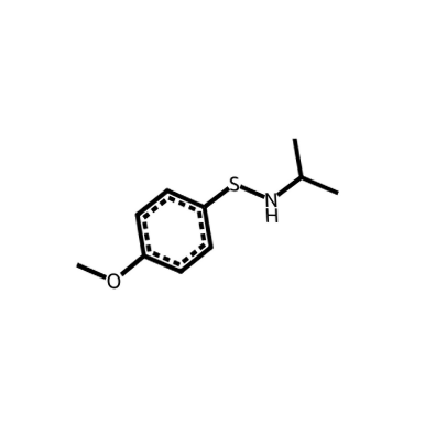 COc1ccc(SNC(C)C)cc1